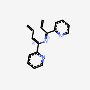 C=C/C=C(\N=C(/C=C)c1ccccn1)c1ccccn1